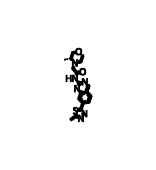 Cc1nnc(-c2ccc3cnc(NC(=O)CN4CCOC[C@H]4C)nc3c2)s1